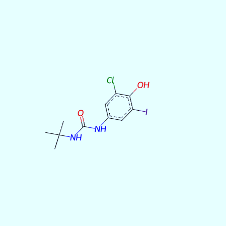 CC(C)(C)NC(=O)Nc1cc(Cl)c(O)c(I)c1